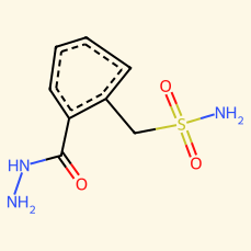 NNC(=O)c1ccccc1CS(N)(=O)=O